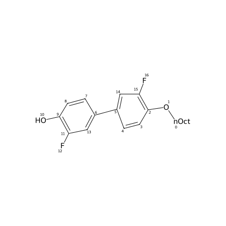 CCCCCCCCOc1ccc(-c2ccc(O)c(F)c2)cc1F